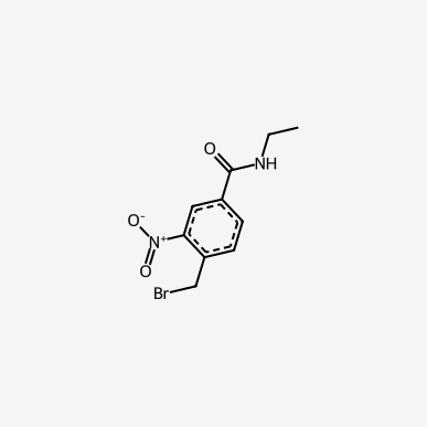 CCNC(=O)c1ccc(CBr)c([N+](=O)[O-])c1